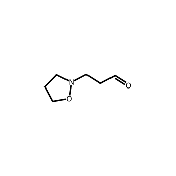 O=CCCN1CCCO1